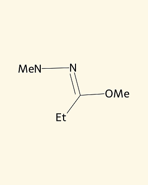 CC/C(=N\NC)OC